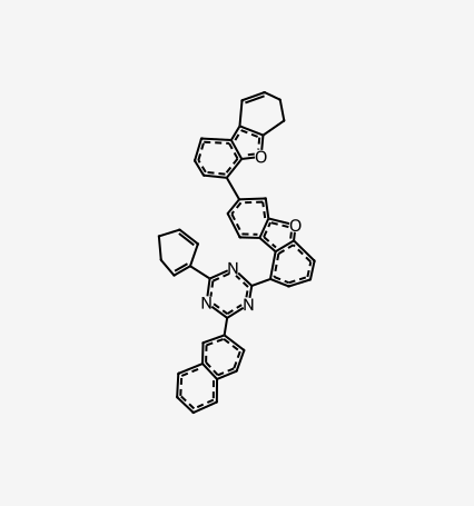 C1=CC(c2nc(-c3ccc4ccccc4c3)nc(-c3cccc4oc5cc(-c6cccc7c8c(oc67)CCC=C8)ccc5c34)n2)=CCC1